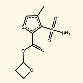 Cc1csc(C(=O)OC2CCO2)c1S(N)(=O)=O